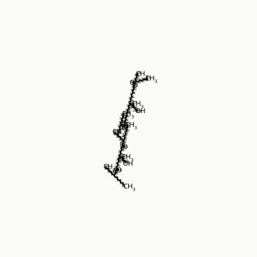 CCCCCCCCC(CCCCCC)COC(=O)CCCCCC(CCCCCC(=O)OCC(CCCCCCCC)CCCC(CC)CCCCC(CCCCCC)C(=O)OCCCCCCCCCC(CCCCCCCCCOC(=O)C(CCCC)CCCCCC)N(C)CCCO)N(C)CCO